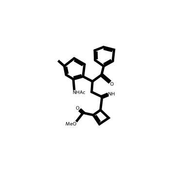 COC(=O)C1=CCC1C(=N)CC(C(=O)c1ccccc1)c1ccc(C)cc1NC(C)=O